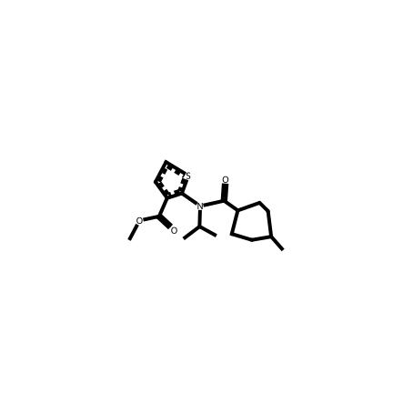 COC(=O)c1ccsc1N(C(=O)C1CCC(C)CC1)C(C)C